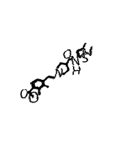 Cc1cc(NC(=O)C2CCN(CCc3ccc4c(c3C)COC4=O)CC2)sn1